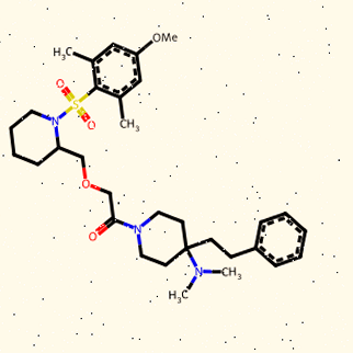 COc1cc(C)c(S(=O)(=O)N2CCCCC2COCC(=O)N2CCC(CCc3ccccc3)(N(C)C)CC2)c(C)c1